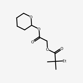 CCC(C)(C)C(=O)OCC(=O)OC1CCCCO1